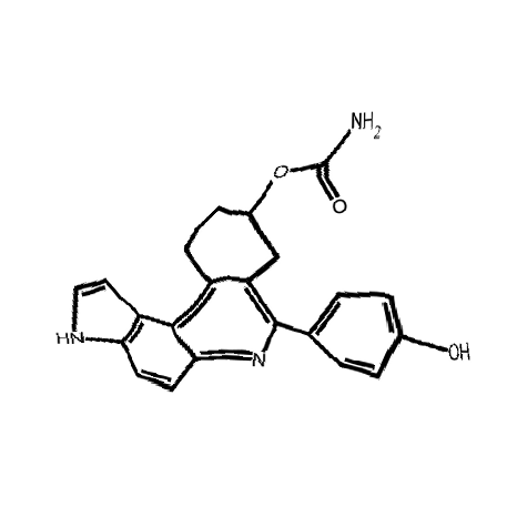 NC(=O)OC1CCc2c(c(-c3ccc(O)cc3)nc3ccc4[nH]ccc4c23)C1